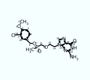 COc1ccc(COP(C)(=O)COCCn2cnc3c(=O)[nH]c(N)nc32)cc1Cl